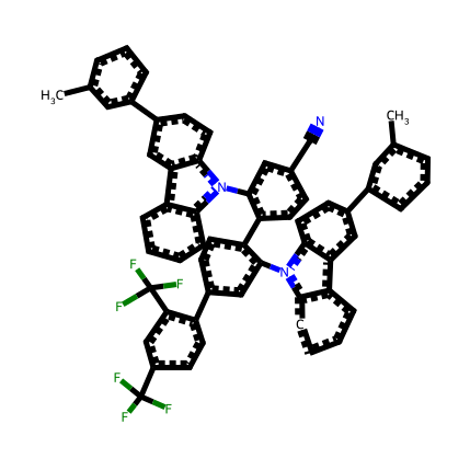 Cc1cccc(-c2ccc3c(c2)c2ccccc2n3-c2cc(C#N)ccc2-c2ccc(-c3ccc(C(F)(F)F)cc3C(F)(F)F)cc2-n2c3ccccc3c3cc(-c4cccc(C)c4)ccc32)c1